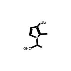 Cc1c(C(C)(C)C)ccn1C(C)C=O